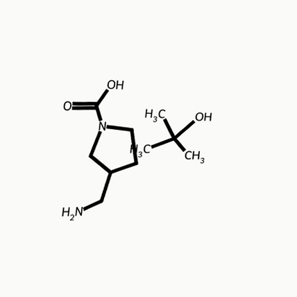 CC(C)(C)O.NCC1CCN(C(=O)O)C1